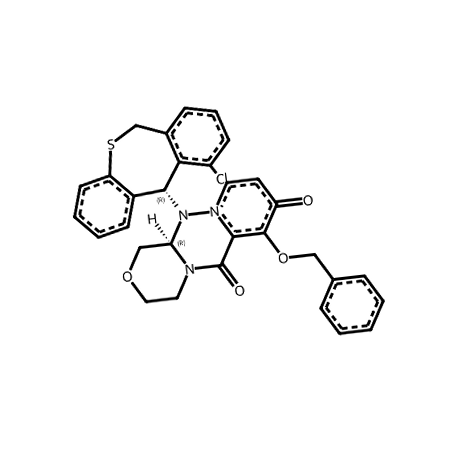 O=C1c2c(OCc3ccccc3)c(=O)ccn2N([C@@H]2c3ccccc3SCc3cccc(Cl)c32)[C@@H]2COCCN12